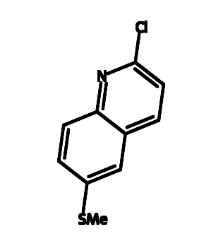 CSc1ccc2nc(Cl)ccc2c1